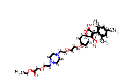 CCOC(=O)COCCN1CCN(CCOCCO[C@H]2CC[C@]3(CC2)OC(=O)C(c2c(C)cc(C)cc2C)=C3O)CC1